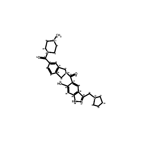 CN1CCN(C(=O)c2ccc3c(c2)CN(C(=O)c2cc4c(CN5CCCC5)n[nH]c4cc2O)C3)CC1